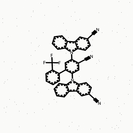 N#Cc1ccc2c(c1)c1ccccc1n2-c1cc(-c2ccccc2C(F)(F)F)c(-n2c3ccccc3c3cc(C#N)ccc32)cc1C#N